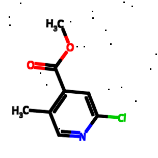 COC(=O)c1cc(Cl)ncc1C